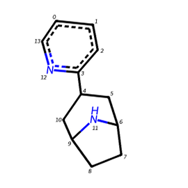 c1ccc(C2CC3CCC(C2)N3)nc1